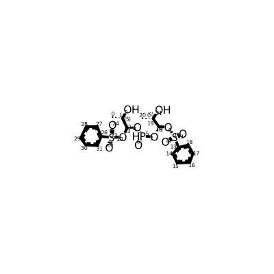 C[C@H](O)[C@@H](O[PH](=O)O[C@@H](OS(=O)(=O)c1ccccc1)[C@H](C)O)OS(=O)(=O)c1ccccc1